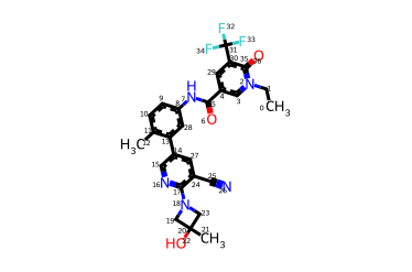 CCn1cc(C(=O)Nc2ccc(C)c(-c3cnc(N4CC(C)(O)C4)c(C#N)c3)c2)cc(C(F)(F)F)c1=O